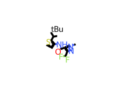 CC(CC(C)(C)C)c1sccc1NC(=O)c1cn(C)nc1C(F)F